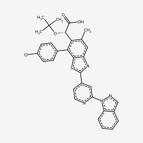 Cc1cc2nc(-c3ccnc(-n4ncc5ccccc54)c3)sc2c(-c2ccc(Cl)cc2)c1[C@H](OC(C)(C)C)C(=O)O